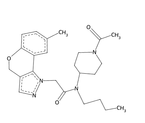 CCCCN(C(=O)Cn1ncc2c1-c1cc(C)ccc1OC2)C1CCN(C(C)=O)CC1